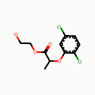 CC(Oc1cc(Cl)ccc1Cl)C(=O)OCC[O]